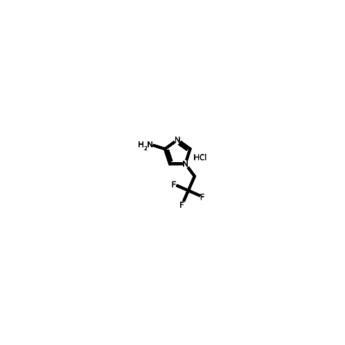 Cl.Nc1cn(CC(F)(F)F)cn1